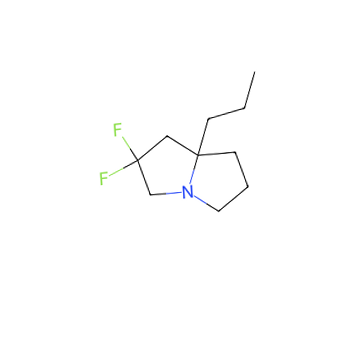 CCCC12CCCN1CC(F)(F)C2